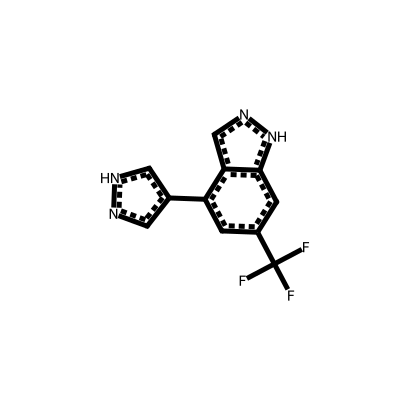 FC(F)(F)c1cc(-c2cn[nH]c2)c2cn[nH]c2c1